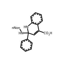 CCCCCCCCCNC1(c2ccccc2)C=C(C(=O)O)c2ccccc2N1